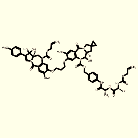 C=CCOC(=O)N[C@H](C(=O)N[C@@H](C)C(=O)Nc1ccc(COC(=O)N2c3cc(OCCCOc4cc5c(cc4OC)C(=O)N4C=C(c6ccc(OC)cc6)C(O)(O)[C@@H]4CN5C(=O)OCC=C)c(OC)cc3C(=O)N3CC4(CC4)C[C@H]3C2O)cc1)C(C)C